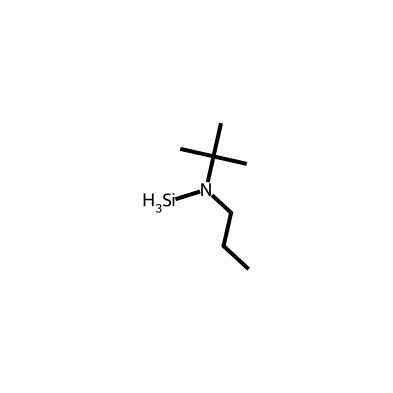 CCCN([SiH3])C(C)(C)C